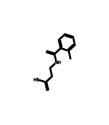 C=C(S)CCNC(=C)c1ccccc1C